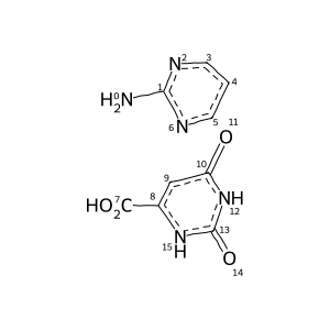 Nc1ncccn1.O=C(O)c1cc(=O)[nH]c(=O)[nH]1